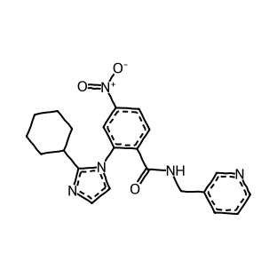 O=C(NCc1cccnc1)c1ccc([N+](=O)[O-])cc1-n1ccnc1C1CCCCC1